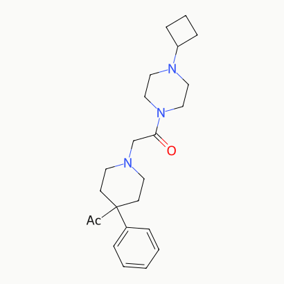 CC(=O)C1(c2ccccc2)CCN(CC(=O)N2CCN(C3CCC3)CC2)CC1